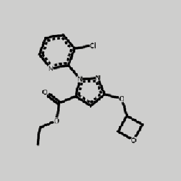 CCOC(=O)c1cc(OC2COC2)nn1-c1ncccc1Cl